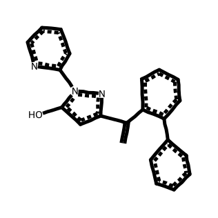 C=C(c1cc(O)n(-c2ccccn2)n1)c1ccccc1-c1ccccc1